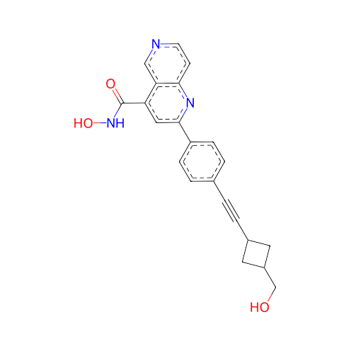 O=C(NO)c1cc(-c2ccc(C#CC3CC(CO)C3)cc2)nc2ccncc12